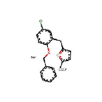 O=C([O-])c1ccc(Cc2cc(Cl)ccc2OCc2ccccc2)o1.[Na+]